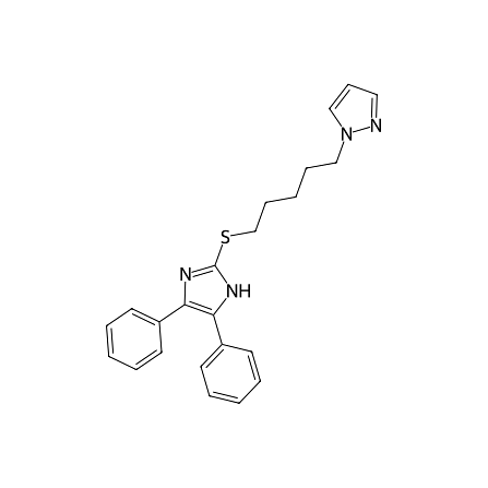 c1ccc(-c2nc(SCCCCCn3cccn3)[nH]c2-c2ccccc2)cc1